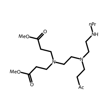 CCCNCCN(CCC(C)=O)CCN(CCC(=O)OC)CCC(=O)OC